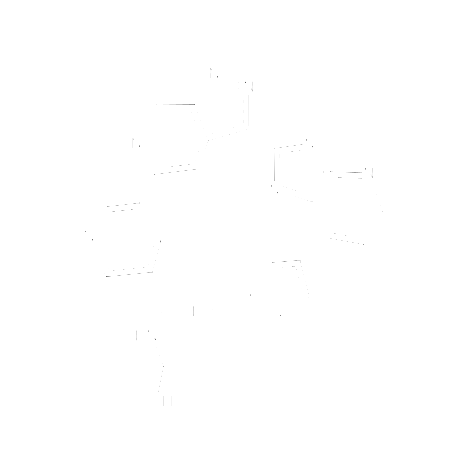 CCNCc1cncc(-c2cc3c(-c4nc5c(-c6ccc(C)s6)ccnc5[nH]4)n[nH]c3cn2)c1